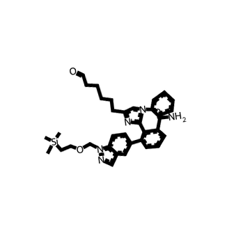 C[Si](C)(C)CCOCn1ncc2cc(-c3cccc(C(N)=O)c3-c3nc(CCCCCC=O)cn3-c3ccccc3)ccc21